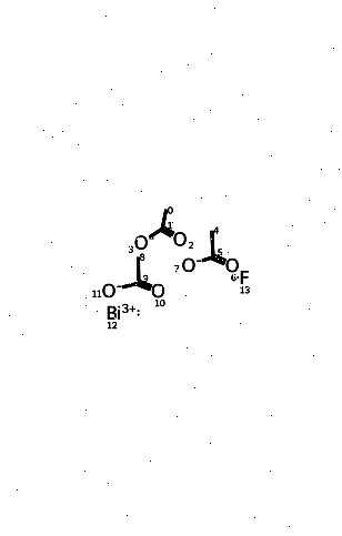 CC(=O)[O-].CC(=O)[O-].CC(=O)[O-].[Bi+3].[F]